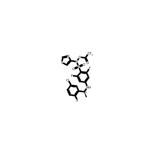 C[C@H](Nc1cc(F)c(S(=O)(=O)N(OC(=O)C(F)(F)F)c2cscn2)c(F)c1)c1cc(Cl)ccc1F